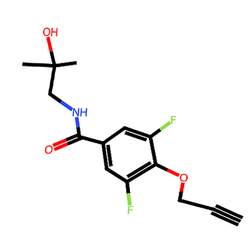 C#CCOc1c(F)cc(C(=O)NCC(C)(C)O)cc1F